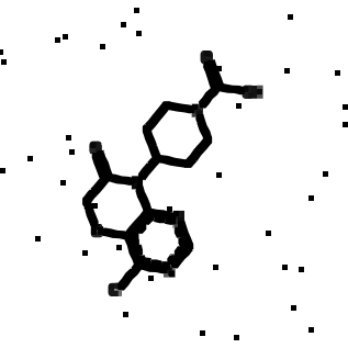 O=C(O)N1CCC(N2C(=O)COc3c(Cl)ncnc32)CC1